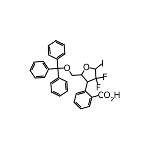 O=C(O)c1ccccc1C1C(COC(c2ccccc2)(c2ccccc2)c2ccccc2)OC(I)C1(F)F